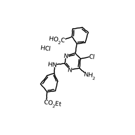 CCOC(=O)c1ccc(Nc2nc(N)c(Cl)c(-c3ccccc3C(=O)O)n2)cc1.Cl